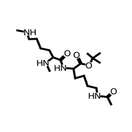 CNCCCCC(NC)C(=O)NC(CCCCNC(C)=O)C(=O)OC(C)(C)C